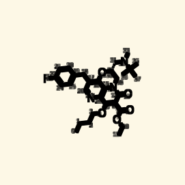 CCCCOc1c(C(=O)OCC)c(=O)n2c3c(c(Cc4ccc(F)cc4)cnc13)O[C@H](CN(C)C(C)(C)C)C2